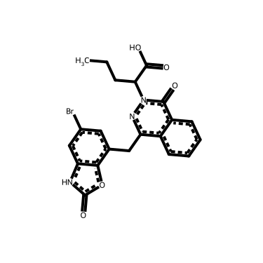 CCCC(C(=O)O)n1nc(Cc2cc(Br)cc3[nH]c(=O)oc23)c2ccccc2c1=O